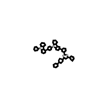 C1=C(c2ccccc2)CCC(c2cc(-c3ccccc3)nc(-c3cccc(-c4ccc5c(c4)c4ccccc4n5-c4ccc(-c5cccc6c5c5ccccc5n6-c5ccccc5)cc4)c3)n2)=C1